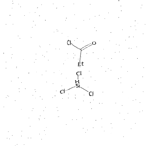 CCC(=O)Cl.Cl[SiH](Cl)Cl